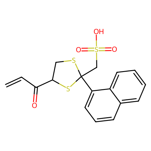 C=CC(=O)C1CSC(CS(=O)(=O)O)(c2cccc3ccccc23)S1